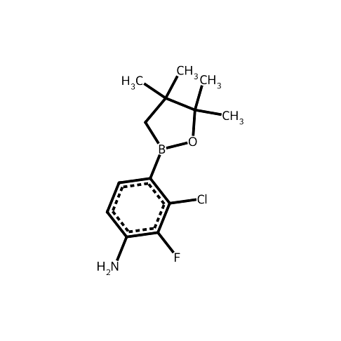 CC1(C)CB(c2ccc(N)c(F)c2Cl)OC1(C)C